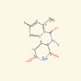 Cc1ccc(C(=O)N(C)C2CCC(=O)NC2=O)c(C=O)c1